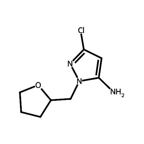 Nc1cc(Cl)nn1CC1CCCO1